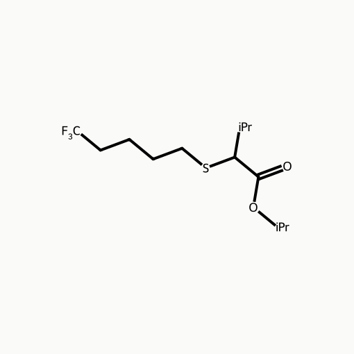 CC(C)OC(=O)C(SCCCCC(F)(F)F)C(C)C